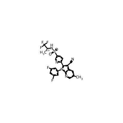 Cc1cnc2c(c1)c(C#N)c(-c1ccc(S(=O)(=O)N[C@@H](C)C(F)(F)F)cn1)n2-c1cc(F)cc(F)c1